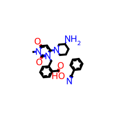 Cn1c(=O)cc(N2CCC[C@H](N)C2)n(Cc2ccccc2C(=O)O)c1=O.N#Cc1ccccc1